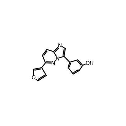 Oc1cccc(-c2cnc3ccc(-c4ccoc4)nn23)c1